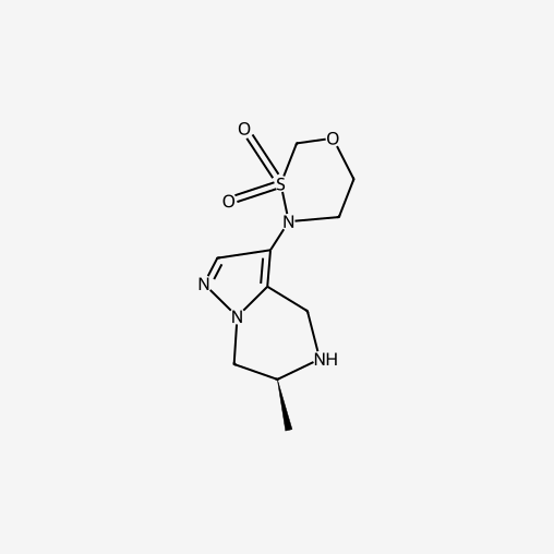 C[C@H]1Cn2ncc(N3CCOCS3(=O)=O)c2CN1